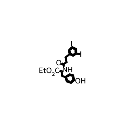 CCOC(=O)C(Cc1ccc(O)cc1)NC(=O)CCc1cc(I)cc(I)c1